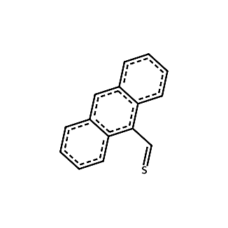 S=Cc1c2ccccc2cc2ccccc12